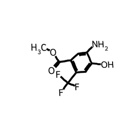 COC(=O)c1cc(N)c(O)cc1C(F)(F)F